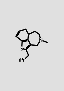 CC(C)Cc1sc2c3c1CN(C)CCC3CC=C2